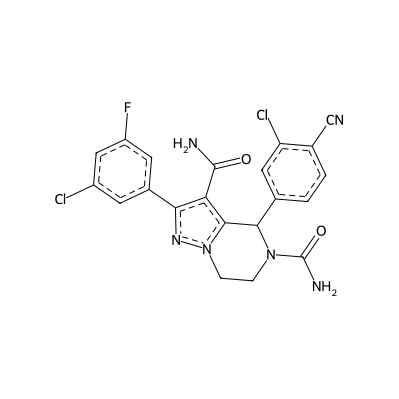 N#Cc1ccc(C2c3c(C(N)=O)c(-c4cc(F)cc(Cl)c4)nn3CCN2C(N)=O)cc1Cl